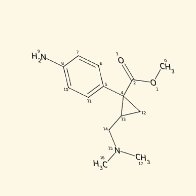 COC(=O)C1(c2ccc(N)cc2)CC1CN(C)C